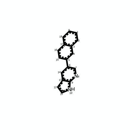 c1ccc2cc(-c3cnc4[nH]ccc4c3)ccc2c1